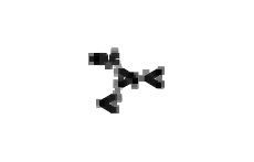 O=C(O)[C@H]1[C@@H](C2CC2)N1C1CC1